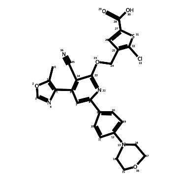 Cc1ocnc1-c1cc(-c2ccc(N3CCOCC3)cc2)nc(OCc2cc(C(=O)O)sc2Cl)c1C#N